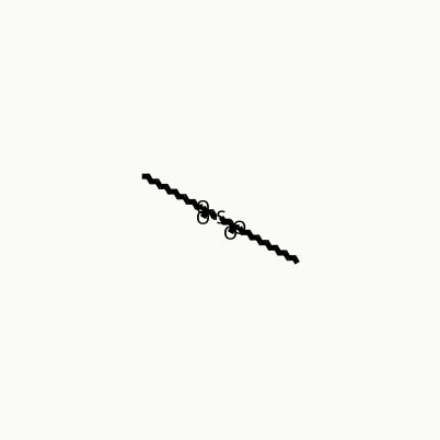 CCCCCCCCCCCCCOC(=O)C=CSC=CC(=O)OCCCCCCCCCCCCC